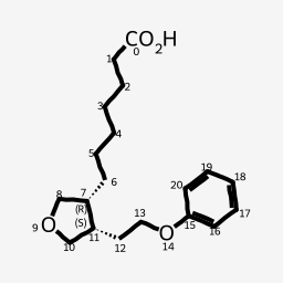 O=C(O)CCCCCC[C@H]1COC[C@H]1CCOc1ccccc1